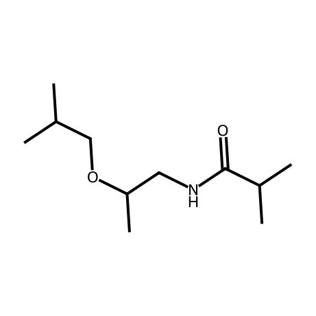 CC(C)COC(C)CNC(=O)C(C)C